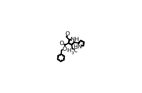 CCc1c(-c2ccc[nH]2)[nH]c(C=O)c1C(=O)OCc1ccccc1